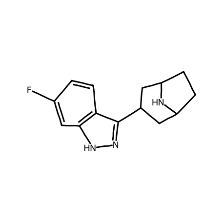 Fc1ccc2c(C3CC4CCC(C3)N4)n[nH]c2c1